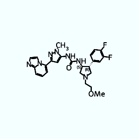 COCCN1C[C@@H](NC(=O)Nc2cc(-c3cccc4nccn34)nn2C)[C@H](c2ccc(F)c(F)c2)C1